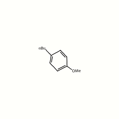 [CH2]CC[CH]c1ccc(OC)cc1